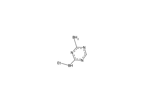 Bc1ncnc(BCC)n1